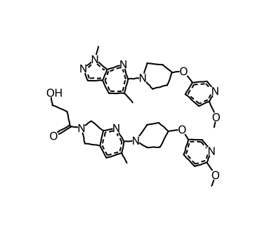 COc1ccc(OC2CCN(c3nc4c(cc3C)CN(C(=O)CCO)C4)CC2)cn1.COc1ccc(OC2CCN(c3nc4c(cnn4C)cc3C)CC2)cn1